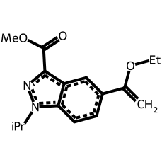 C=C(OCC)c1ccc2c(c1)c(C(=O)OC)nn2C(C)C